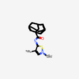 CCCCc1cn(C(C)(C)C)sc1=NC(=O)C12CC3CC(CC(C3)C1)C2